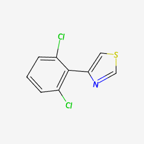 Clc1cccc(Cl)c1-c1cscn1